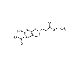 CCOC(=O)CCC1CCc2cc(C(C)=O)c(O)cc2O1